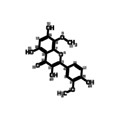 COc1cc(-c2oc3c(OC)c(O)cc(O)c3c(=O)c2O)ccc1O